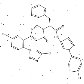 O=C(Nc1cnn(-c2ccc(Cl)cc2)c1)[C@H](Cc1ccccc1)n1cnc(-c2cc(Cl)ccc2-n2cc(Cl)nn2)cc1=O